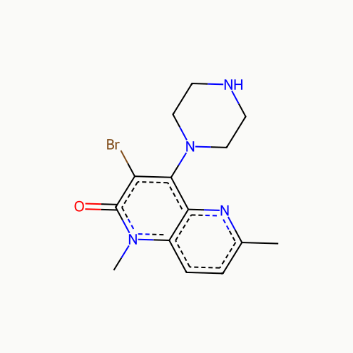 Cc1ccc2c(n1)c(N1CCNCC1)c(Br)c(=O)n2C